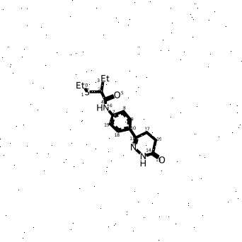 CCSC(CC)C(=O)Nc1ccc(C2=NNC(=O)CC2)cc1